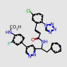 O=C(O)Nc1ccc(-c2cnnc(C(Cc3ccccc3)NC(=O)C=Cc3cc(Cl)ccc3-n3cnnn3)c2)cc1F